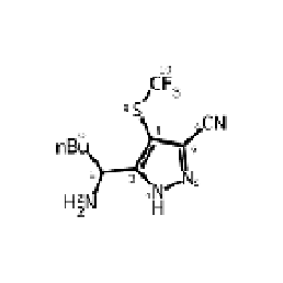 CCCCC(N)c1[nH]nc(C#N)c1SC(F)(F)F